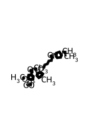 COc1cc(C(=O)N(C)c2ccc(C)cc2OCCCCCC(=O)N2CCC(N(C)C)CC2)ccc1[N+](=O)[O-]